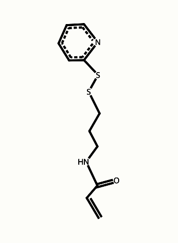 C=CC(=O)NCCCSSc1ccccn1